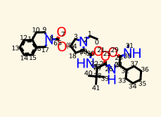 CCN1C[C@@H](OC(=O)N2CCc3ccccc3C2)C[C@@H]1C(=O)N[C@H](C(=O)N[C@H](C(=O)NC)C1CCCCC1)C(C)(C)C